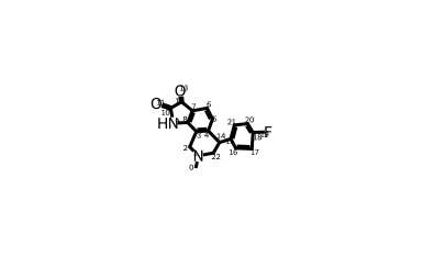 CN1Cc2c(ccc3c2NC(=O)C3=O)C(c2ccc(F)cc2)C1